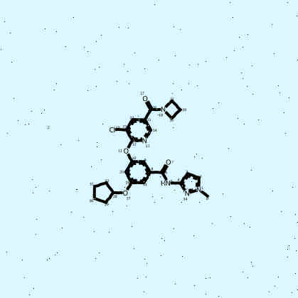 Cn1ccc(NC(=O)c2cc(Oc3ncc(C(=O)N4CCC4)cc3Cl)cc(OC3CCCC3)c2)n1